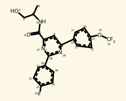 CC(CO)NC(=O)c1cc(-c2ccc(OC(F)(F)F)cc2)nc(-c2ccc(F)cc2)n1